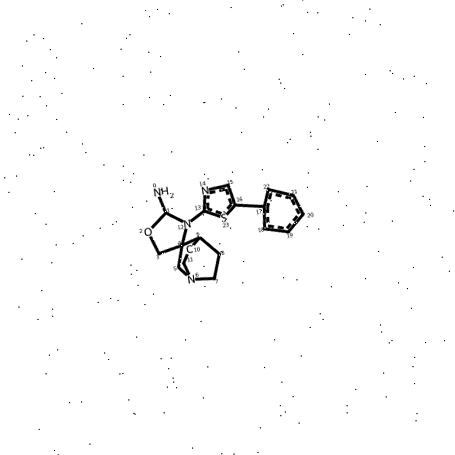 NC1OCC2(CN3CCC2CC3)N1c1ncc(-c2ccccc2)s1